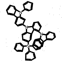 c1ccc(-n2c3ccccc3c3ccc(-n4c5ccc([Si](c6ccccc6)(c6ccccc6)c6ccccc6)cc5c5c(-n6c7ccccc7c7ccccc76)cccc54)cc32)cc1